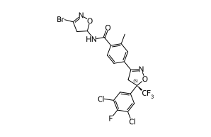 Cc1cc(C2=NO[C@@](c3cc(Cl)c(F)c(Cl)c3)(C(F)(F)F)C2)ccc1C(=O)NC1CC(Br)=NO1